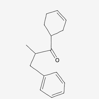 CC(Cc1ccccc1)C(=O)C1CC=CCC1